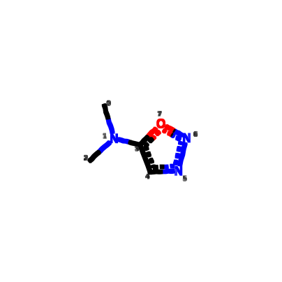 CN(C)c1cnno1